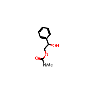 CNC(=O)OCC(O)c1ccccc1